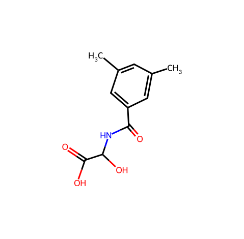 Cc1cc(C)cc(C(=O)NC(O)C(=O)O)c1